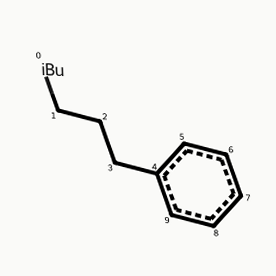 CCC(C)CCCc1ccccc1